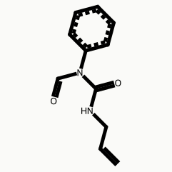 C=CCNC(=O)N(C=O)c1ccccc1